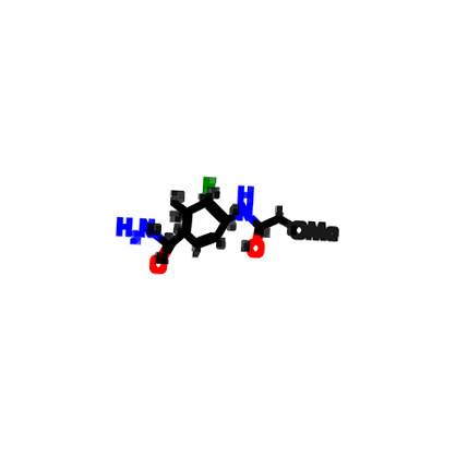 COCC(=O)Nc1ccc(C(N)=O)c(C)c1F